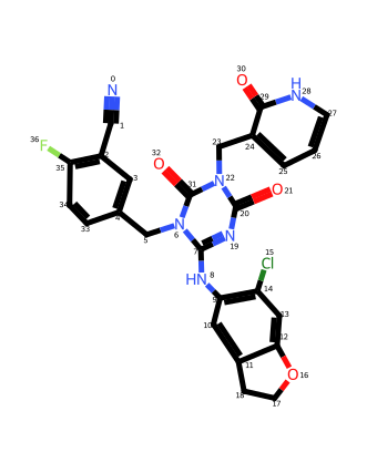 N#Cc1cc(Cn2c(Nc3cc4c(cc3Cl)OCC4)nc(=O)n(Cc3ccc[nH]c3=O)c2=O)ccc1F